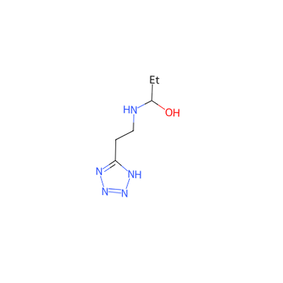 CCC(O)NCCc1nnn[nH]1